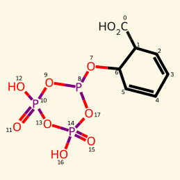 O=C(O)C1C=CC=CC1OP1OP(=O)(O)OP(=O)(O)O1